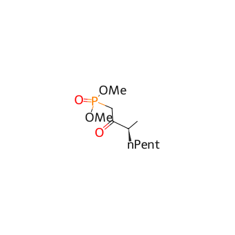 CCCCC[C@H](C)C(=O)CP(=O)(OC)OC